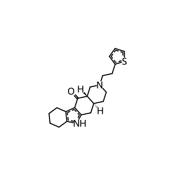 O=C1c2c([nH]c3c2CCCC3)C[C@@H]2CCN(CCc3cccs3)C[C@@H]12